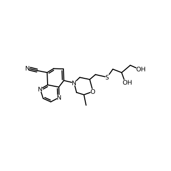 CC1CN(c2ccc(C#N)c3nccnc23)CC(CSCC(O)CO)O1